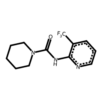 O=C(Nc1ncccc1C(F)(F)F)N1CCCCC1